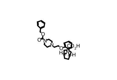 O=C(O)N1C[C@H]2CC[C@@H](C1)N2c1ccccc1OCCN1CCN(C(=O)OCc2ccccc2)CC1